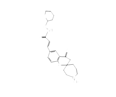 CN1CCCC2(CC1)CC(=O)c1cc(C=CC(=O)NOC3CCCCO3)ccc1O2